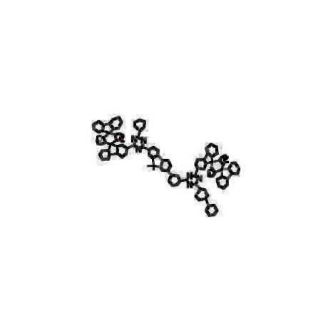 CC1(C)c2cc(-c3cccc(-c4nc(-c5ccc(-c6ccccc6)cc5)nc(-c5ccc6c(c5)C5(c7ccccc7-6)c6ccccc6C6(c7ccccc7-c7ccccc76)c6ccccc65)n4)c3)ccc2-c2ccc(-c3nc(-c4ccccc4)nc(-c4ccc5c(c4)C4(c6ccccc6-5)c5ccccc5C5(c6ccccc6-c6ccccc65)c5ccccc54)n3)cc21